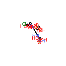 CS(=O)(=O)Nc1cc([C@@H](O)CNCCCCCCCCCN2CCC(N(C(=O)O)c3ccccc3-c3ccc(O)c(Cl)c3)CC2)ccc1O.O=S(=O)(O)c1cccc2c(S(=O)(=O)O)cccc12